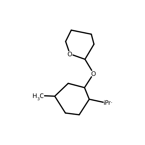 C[C](C)C1CCC(C)CC1OC1CCCCO1